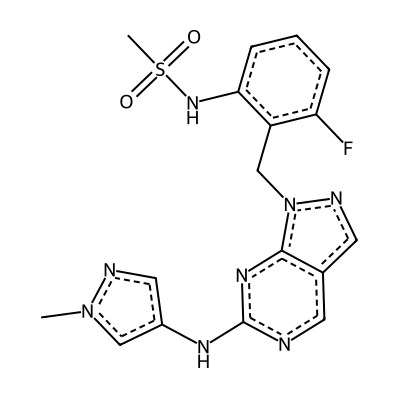 Cn1cc(Nc2ncc3cnn(Cc4c(F)cccc4NS(C)(=O)=O)c3n2)cn1